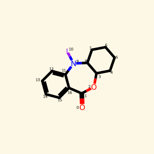 O=C1OC2CCCCC2N(I)c2ccccc21